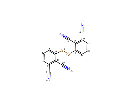 N#Cc1cccc(SSc2cccc(C#N)c2C#N)c1C#N